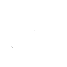 NC(=O)C(=O)C(Cc1ccc[nH]1)NC(=O)c1ccnn1-c1ncccn1